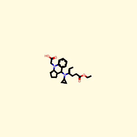 CC=C(CCC(=O)OCC)N(C1CC1)C1c2ccccc2N(CC(=O)O)C2CCCC21